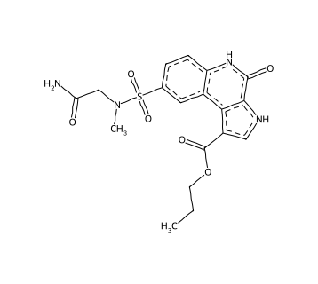 CCCOC(=O)c1c[nH]c2c(=O)[nH]c3ccc(S(=O)(=O)N(C)CC(N)=O)cc3c12